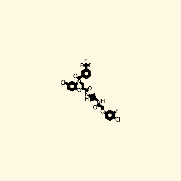 O=C(COc1ccc(Cl)c(F)c1)NC12CC(NC(=O)C3CN(C(=O)c4cccc(C(F)(F)F)c4)c4cc(Cl)ccc4O3)(C1)C2